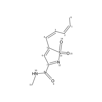 C/C=C\C=C/C1=CC(C(=O)NC)=NS1(=O)=O